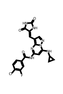 O=C1NC(=O)/C(=C/c2cnn3c(NC4CC4)cc(NC(=O)c4ccc(Cl)c(F)c4)nc23)N1